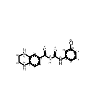 O=C(NC(=O)c1ccc2c(c1)NCCN2)Nc1cccc(Cl)c1